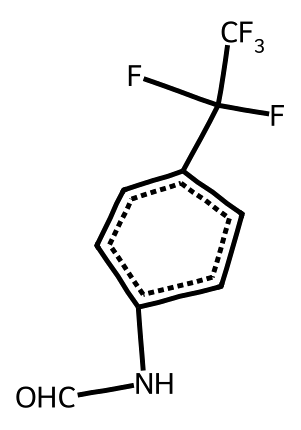 O=CNc1ccc(C(F)(F)C(F)(F)F)cc1